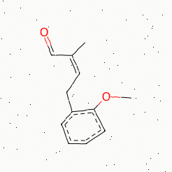 COc1ccccc1CC=C(C)C=O